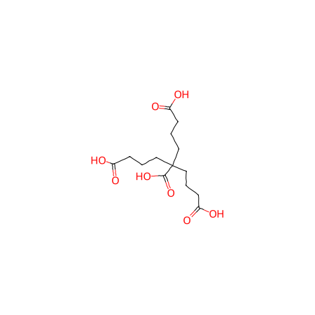 O=C(O)CCCC(CCCC(=O)O)(CCCC(=O)O)C(=O)O